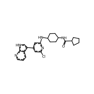 O=C(NC1CCC(Nc2cc(-c3c[nH]c4ncccc34)cc(Cl)n2)CC1)C1CCCC1